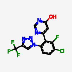 Oc1cc(-c2c(-n3cc(C(F)(F)F)nn3)ccc(Cl)c2F)ncn1